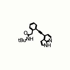 CC(C)(C)NC(=O)Cc1ccccc1C#Cc1ccnc2[nH]ccc12